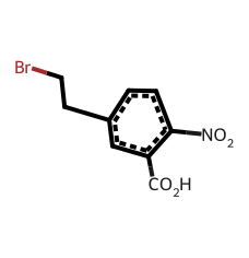 O=C(O)c1cc(CCBr)ccc1[N+](=O)[O-]